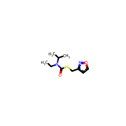 CCN(C(=O)SCc1ccon1)C(C)C